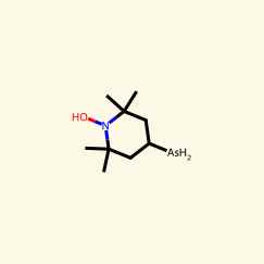 CC1(C)CC([AsH2])CC(C)(C)N1O